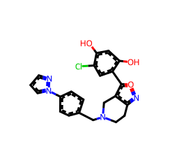 Oc1cc(O)c(-c2onc3c2CN(Cc2ccc(-n4cccn4)cc2)CC3)cc1Cl